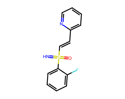 N=S(=O)(/C=C/c1ccccn1)c1ccccc1F